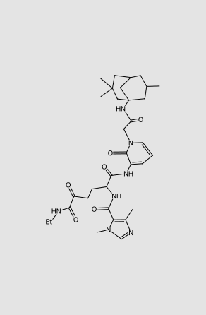 CCNC(=O)C(=O)CCC(NC(=O)c1c(C)ncn1C)C(=O)Nc1cccn(CC(=O)NC23CC(C)CC(CC(C)(C)C2)C3)c1=O